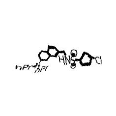 CCCN(CCC)[C@@H]1CCc2ccc(CNS(=O)(=O)c3ccc(Cl)cc3)cc2C1